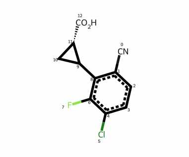 N#Cc1ccc(Cl)c(F)c1C1C[C@@H]1C(=O)O